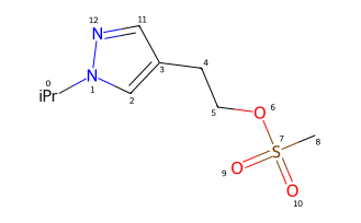 CC(C)n1cc(CCOS(C)(=O)=O)cn1